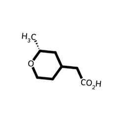 C[C@@H]1CC(CC(=O)O)CCO1